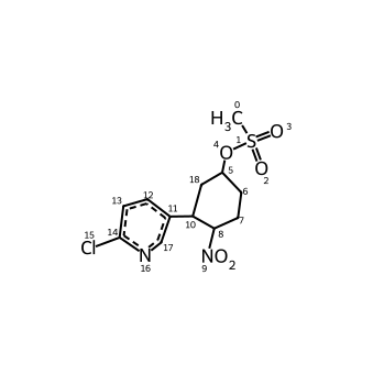 CS(=O)(=O)OC1CCC([N+](=O)[O-])C(c2ccc(Cl)nc2)C1